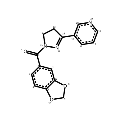 O=C(c1ccc2c(c1)OCO2)N1CCC(c2cccnc2)=N1